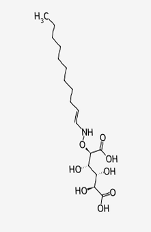 CCCCCCCCC/C=C/NO[C@@H](C(=O)O)[C@@H](O)[C@H](O)[C@H](O)C(=O)O